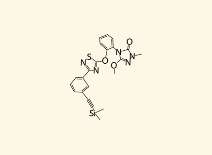 COc1nn(C)c(=O)n1-c1ccccc1Oc1nc(-c2cccc(C#C[Si](C)(C)C)c2)ns1